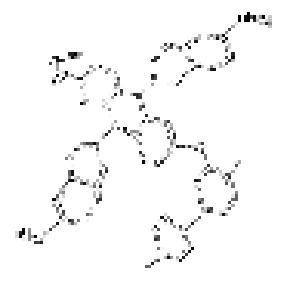 CCCCCCCCCCOc1ccc2c(-c3ccc4cc(CCCCCC)ccc4c3)c3cc(Oc4cc(-c5ccc(C)cc5)ccc4C)ccc3c(-c3ccc4cc(CCCCCC)ccc4c3)c2c1